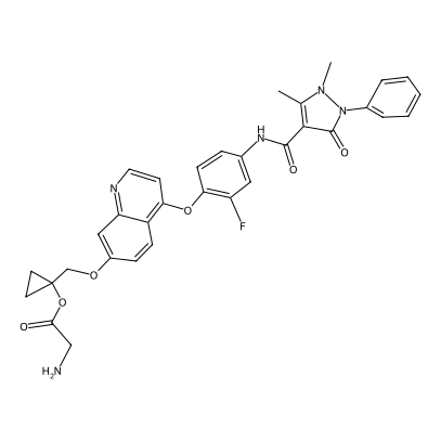 Cc1c(C(=O)Nc2ccc(Oc3ccnc4cc(OCC5(OC(=O)CN)CC5)ccc34)c(F)c2)c(=O)n(-c2ccccc2)n1C